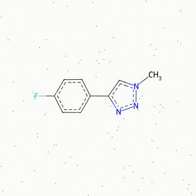 Cn1cc(-c2ccc(F)cc2)nn1